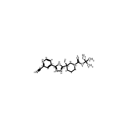 CC(C)(C)OC(=O)N1CCCC(F)(c2nnc(-c3ccnc(C#N)c3)o2)C1